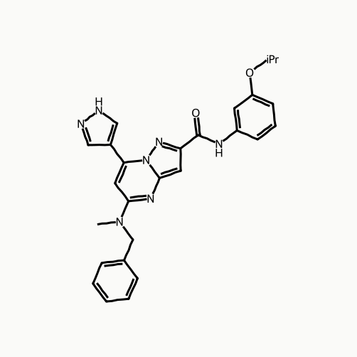 CC(C)Oc1cccc(NC(=O)c2cc3nc(N(C)Cc4ccccc4)cc(-c4cn[nH]c4)n3n2)c1